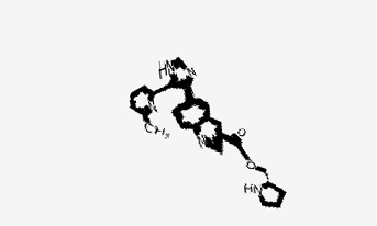 Cc1cccc(-c2[nH]cnc2-c2ccc3ncc(C(=O)OC[C@@H]4CCCN4)cc3c2)n1